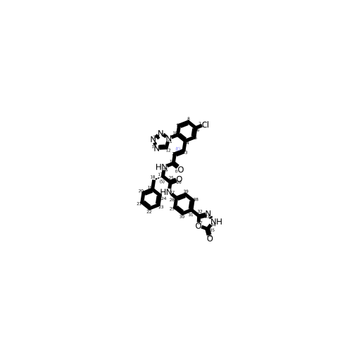 O=C(/C=C/c1cc(Cl)ccc1-n1cnnn1)N[C@@H](Cc1ccccc1)C(=O)Nc1ccc(-c2n[nH]c(=O)o2)cc1